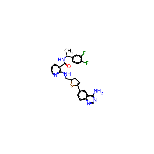 C[C@H](NC(=O)c1cccnc1NCC1CC=C(c2ccc3ncnc(N)c3c2)S1)c1ccc(F)c(F)c1